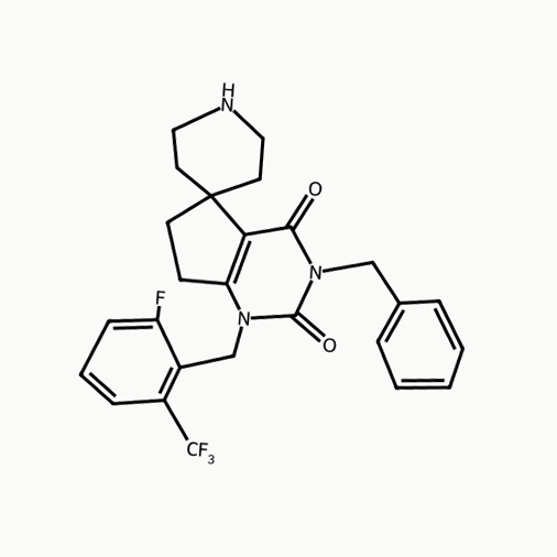 O=c1c2c(n(Cc3c(F)cccc3C(F)(F)F)c(=O)n1Cc1ccccc1)CCC21CCNCC1